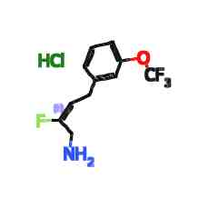 Cl.NC/C(F)=C\Cc1cccc(OC(F)(F)F)c1